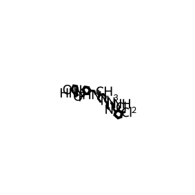 CC1(NCc2ccc(N3CCC(=O)NC3=O)c(F)c2)CCN(c2cnc(-c3cccc(Cl)c3Cl)c(N)n2)CC1